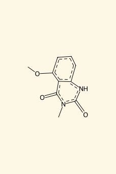 COc1cccc2[nH]c(=O)n(C)c(=O)c12